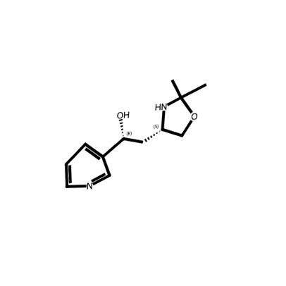 CC1(C)N[C@@H](C[C@@H](O)c2cccnc2)CO1